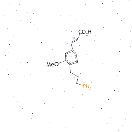 COc1cc(/C=C/C(=O)O)ccc1CCCP